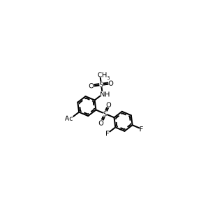 CC(=O)c1ccc(NS(C)(=O)=O)c(S(=O)(=O)c2ccc(F)cc2F)c1